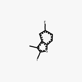 Cc1c(I)sc2ccc(F)cc12